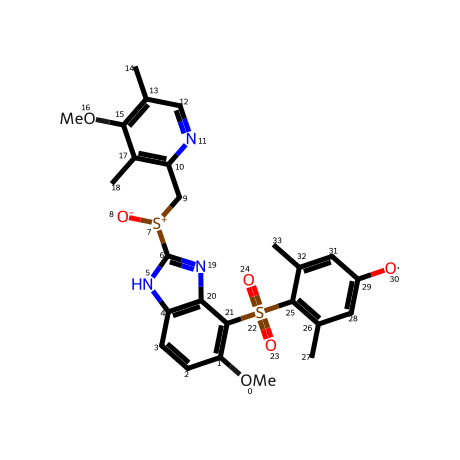 COc1ccc2[nH]c([S+]([O-])Cc3ncc(C)c(OC)c3C)nc2c1S(=O)(=O)c1c(C)cc([O])cc1C